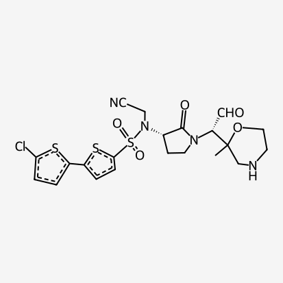 CC1([C@@H](C=O)N2CC[C@H](N(CC#N)S(=O)(=O)c3ccc(-c4ccc(Cl)s4)s3)C2=O)CNCCO1